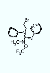 CN(OC(F)(F)F)C(=Nc1ccccc1)N(CCBr)c1ccccc1